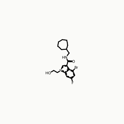 O=C(NCC1CCCCCC1)c1cn(CCO)c2cc(F)cc(Br)c12